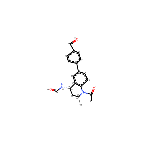 CC(=O)N1c2ccc(-c3ccc(C=O)cc3)cc2[C@@H](NC=O)C[C@H]1C